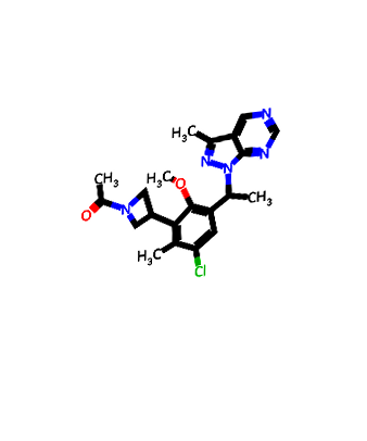 COc1c(C(C)n2nc(C)c3cncnc32)cc(Cl)c(C)c1C1CN(C(C)=O)C1